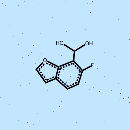 OC(O)c1c(F)ccc2ccoc12